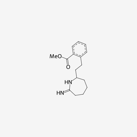 COC(=O)c1ccccc1CCC1CCCCC(=N)N1